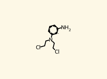 Nc1[c]c(N(CCCl)CCCl)ccc1